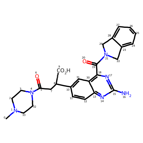 CN1CCN(C(=O)CC(C(=O)O)c2ccc3nc(N)nc(C(=O)N4Cc5ccccc5C4)c3c2)CC1